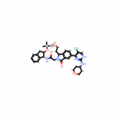 CC(C)(C)[Si](C)(C)OC1Cc2ccccc2[C@@H]1NC(=O)CN1C(=O)c2cc(-c3nc(NC4CCOCC4)ncc3Cl)ccc2C1CCO